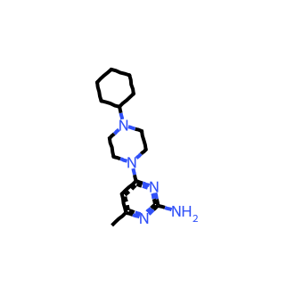 Cc1cc(N2CCN(C3CCCCC3)CC2)nc(N)n1